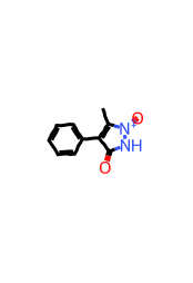 CC1=C(c2ccccc2)C(=O)N[N+]1=O